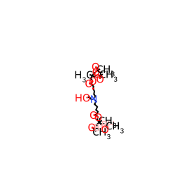 CC(=O)BCC(C)(CBC(C)=O)COC(=O)CCCCCN(CCO)CCCCCC(=O)OCC(C)(COC(C)=O)COC(C)=O